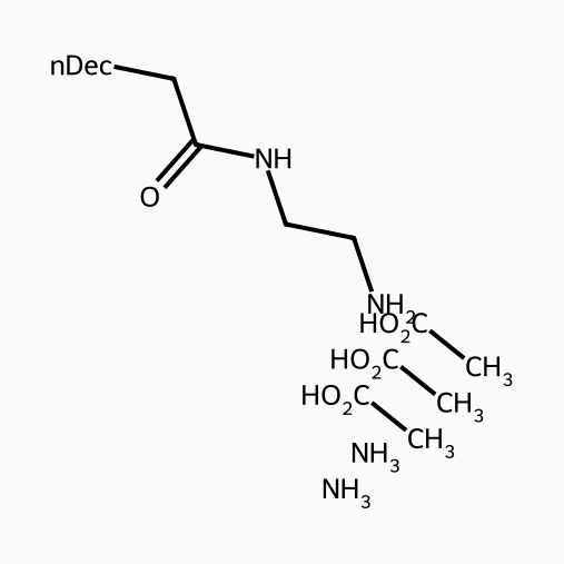 CC(=O)O.CC(=O)O.CC(=O)O.CCCCCCCCCCCC(=O)NCCN.N.N